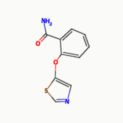 NC(=O)c1ccccc1Oc1cncs1